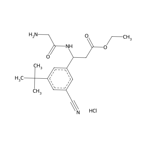 CCOC(=O)CC(NC(=O)CN)c1cc(C#N)cc(C(C)(C)C)c1.Cl